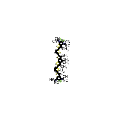 [C-]#[N+]/C(C#N)=C1/c2c(sc(-c3ccc(-c4sc5c(c4C)C(C)(C)c4c-5sc(-c5ccc(-c6sc7c(c6C)/C(=C(/C#N)[N+]#[C-])C(F)(F)/C7=C(\C#N)[N+]#[C-])s5)c4C)s3)c2C)/C(=C(\C#N)[N+]#[C-])C1(F)F